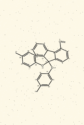 COc1cccc2c1-c1ccccc1C2(Oc1ccc(C)cc1)Oc1ccc(C)cc1